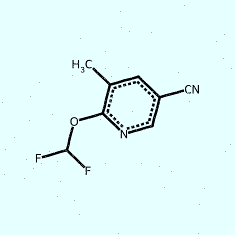 Cc1cc(C#N)cnc1OC(F)F